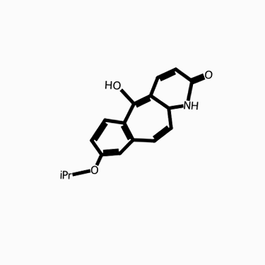 CC(C)Oc1ccc2c(c1)C=CC1NC(=O)C=CC1=C2O